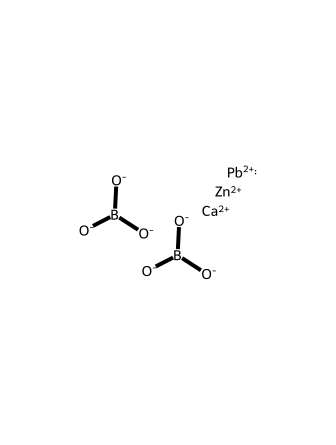 [Ca+2].[O-]B([O-])[O-].[O-]B([O-])[O-].[Pb+2].[Zn+2]